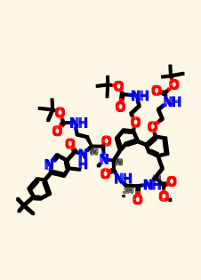 COC(=O)[C@@H]1Cc2ccc(OCCNC(=O)OC(C)(C)C)c(c2)-c2cc(ccc2OCCNC(=O)OC(C)(C)C)[C@H](N(C)C(=O)[C@H](CCNC(=O)OC(C)(C)C)NC(=O)c2cnc(-c3ccc(C(C)(C)C)cc3)cc2C)C(=O)N[C@@H](C)C(=O)N1